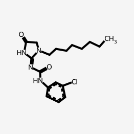 CCCCCCCCN1CC(=O)NC1=NC(=O)Nc1cccc(Cl)c1